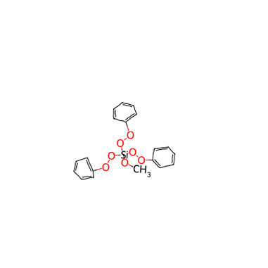 CO[Si](OOc1ccccc1)(OOc1ccccc1)OOc1ccccc1